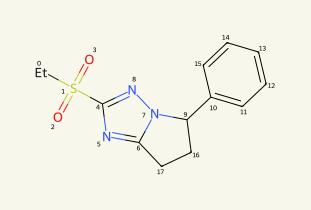 CCS(=O)(=O)c1nc2n(n1)C(c1ccccc1)CC2